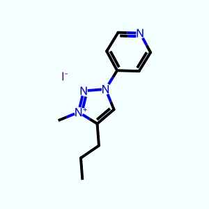 CCCc1cn(-c2ccncc2)n[n+]1C.[I-]